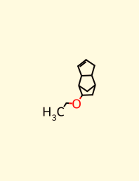 CCOC1CC2CC1C1C=CCC21